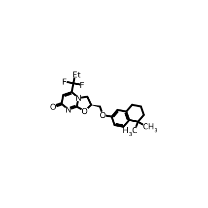 CCC(F)(F)c1cc(=O)nc2n1C[C@@H](COc1ccc3c(c1)CCCC3(C)C)O2